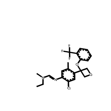 CCN(C)C=Nc1cc(C)c(C2(Oc3ccccc3C(F)(F)F)COC2)cc1Cl